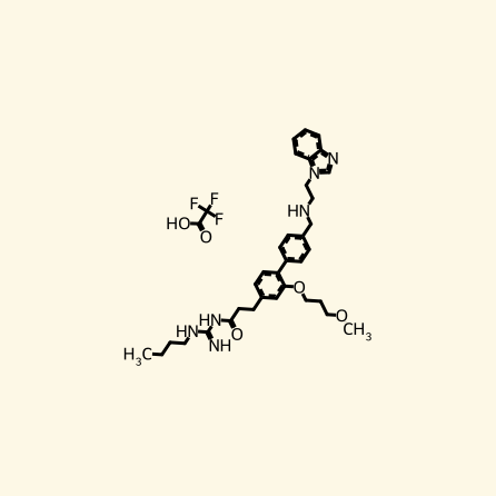 CCCCNC(=N)NC(=O)CCc1ccc(-c2ccc(CNCCn3cnc4ccccc43)cc2)c(OCCCOC)c1.O=C(O)C(F)(F)F